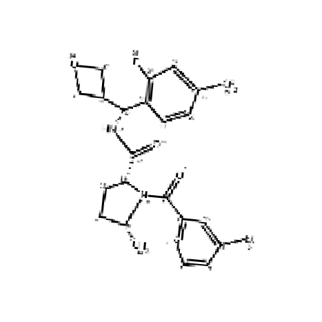 CCc1ccnc(C(=O)N2[C@H](C)CC[C@@H]2C(=O)N[C@@H](c2ccc(C(F)(F)F)cc2F)C2COC2)c1